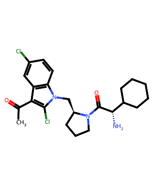 CC(=O)c1c(Cl)n(C[C@@H]2CCCN2C(=O)[C@@H](N)C2CCCCC2)c2ccc(Cl)cc12